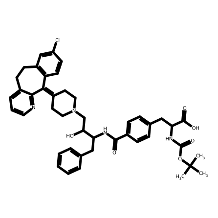 CC(C)(C)OC(=O)NC(Cc1ccc(C(=O)NC(Cc2ccccc2)C(O)CN2CCC(=C3c4ccc(Cl)cc4CCc4cccnc43)CC2)cc1)C(=O)O